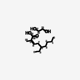 CCCCC(CC)CC=C(C)C(=O)O.OCCO